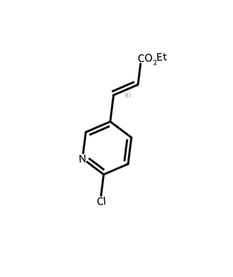 CCOC(=O)/C=C/c1ccc(Cl)nc1